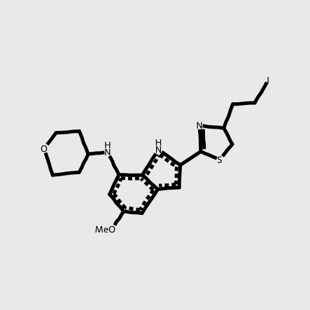 COc1cc(NC2CCOCC2)c2[nH]c(C3=NC(CCI)CS3)cc2c1